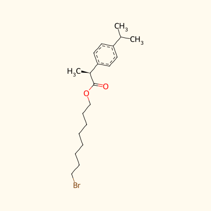 CC(C)c1ccc([C@H](C)C(=O)OCCCCCCCCBr)cc1